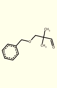 CC(C)(C=O)COCc1ccccc1